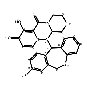 O=C1c2c(O)c(=O)ccn2N(C2c3ccc(F)cc3CSc3ccccc32)C2COCCN12